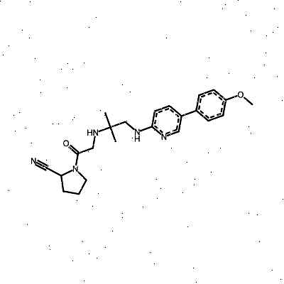 COc1ccc(-c2ccc(NCC(C)(C)NCC(=O)N3CCCC3C#N)nc2)cc1